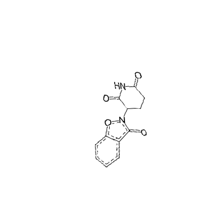 O=C1CCC(n2oc3ccccc3c2=O)C(=O)N1